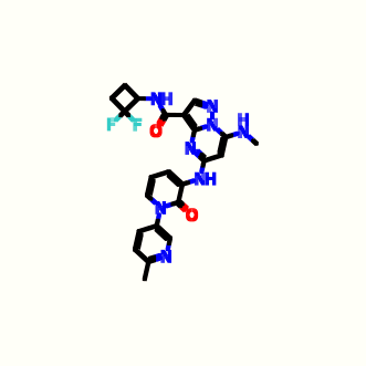 CNc1cc(Nc2cccn(-c3ccc(C)nc3)c2=O)nc2c(C(=O)NC3CCC3(F)F)cnn12